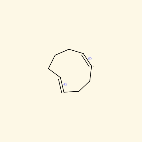 [C]1=C\CCC/C=C/CC/1